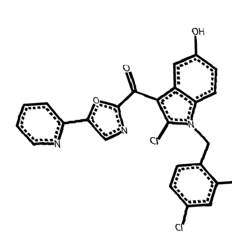 O=C(c1ncc(-c2ccccn2)o1)c1c(Cl)n(Cc2ccc(Cl)cc2Cl)c2ccc(O)cc12